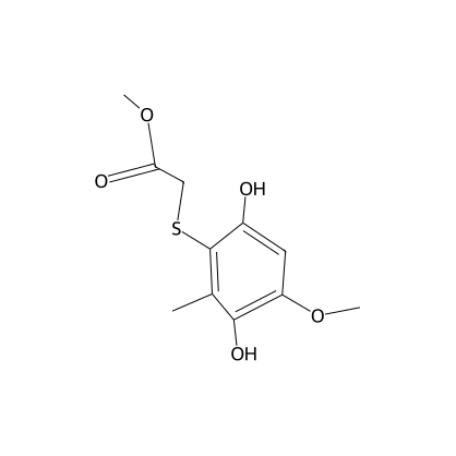 COC(=O)CSc1c(O)cc(OC)c(O)c1C